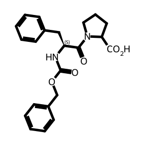 O=C(N[C@@H](Cc1ccccc1)C(=O)N1CCCC1C(=O)O)OCc1ccccc1